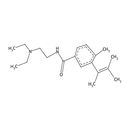 CCN(CC)CCNC(=O)c1ccc(C)c(C(C)=C(C)C)c1